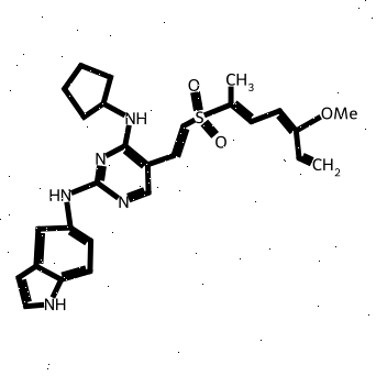 C=C/C(=C\C=C(/C)S(=O)(=O)/C=C/c1cnc(Nc2ccc3[nH]ccc3c2)nc1NC1CCCC1)OC